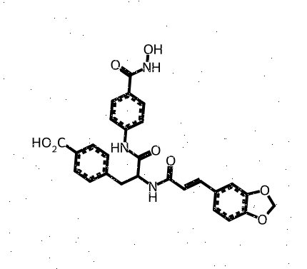 O=C(/C=C/c1ccc2c(c1)OCO2)NC(Cc1ccc(C(=O)O)cc1)C(=O)Nc1ccc(C(=O)NO)cc1